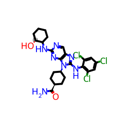 NC(=O)[C@H]1CC[C@@H](n2c(Nc3c(Cl)cc(Cl)cc3Cl)nc3cnc(NC4CCCC[C@H]4O)nc32)CC1